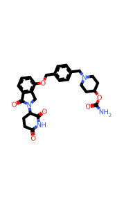 NC(=O)OC1CCN(Cc2ccc(COc3cccc4c3CN(C3CCC(=O)NC3=O)C4=O)cc2)CC1